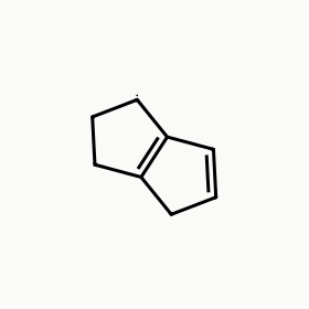 [CH]1CCC2=C1C=CC2